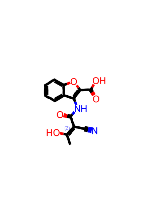 C/C(O)=C(\C#N)C(=O)Nc1c(C(=O)O)oc2ccccc12